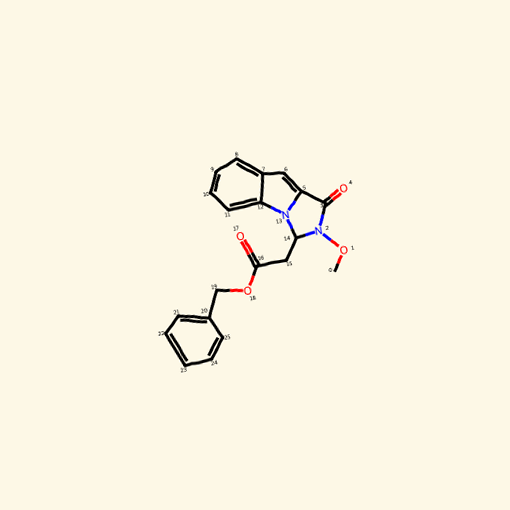 CON1C(=O)c2cc3ccccc3n2C1CC(=O)OCc1ccccc1